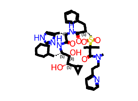 CN(CCc1ccccn1)C(=O)C(C)(C)S(=O)(=O)C[C@@H](Cc1ccccc1)C(=O)N[C@@H](Cc1c[nH]cn1)C(=O)N[C@@H](CC1CCCCC1)[C@@H](O)[C@@H](O)C1CC1